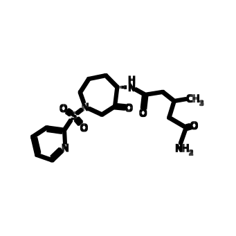 CC(CC(N)=O)CC(=O)N[C@H]1CCCN(S(=O)(=O)c2ccccn2)CC1=O